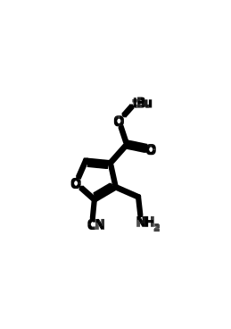 CC(C)(C)OC(=O)c1coc(C#N)c1CN